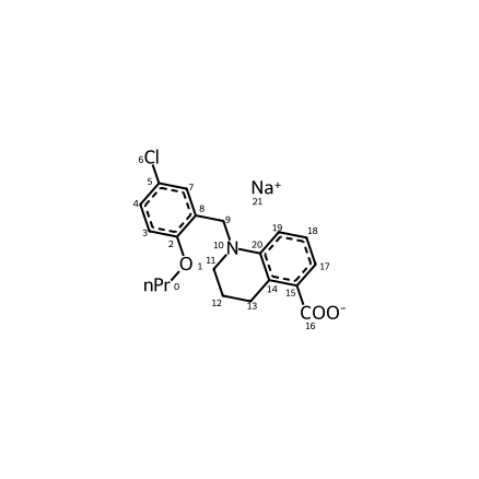 CCCOc1ccc(Cl)cc1CN1CCCc2c(C(=O)[O-])cccc21.[Na+]